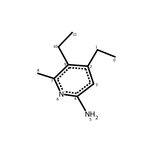 CCc1cc(N)nc(C)c1CC